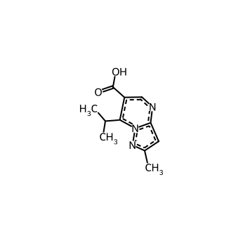 Cc1cc2ncc(C(=O)O)c(C(C)C)n2n1